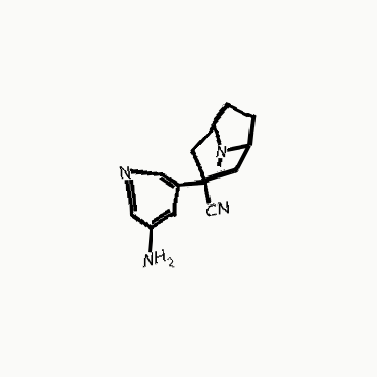 CN1C2CCC1CC(C#N)(c1cncc(N)c1)C2